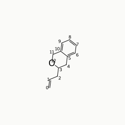 C=CCC1Cc2ccccc2CO1